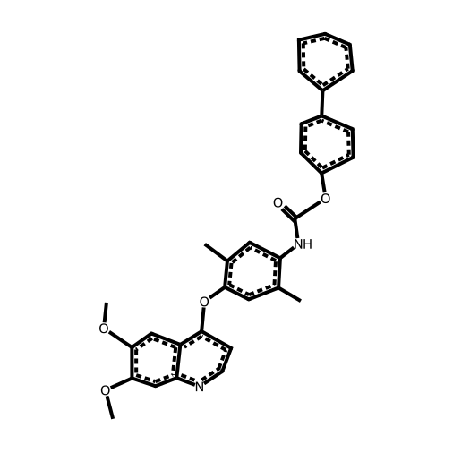 COc1cc2nccc(Oc3cc(C)c(NC(=O)Oc4ccc(-c5ccccc5)cc4)cc3C)c2cc1OC